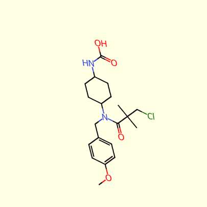 COc1ccc(CN(C(=O)C(C)(C)CCl)C2CCC(NC(=O)O)CC2)cc1